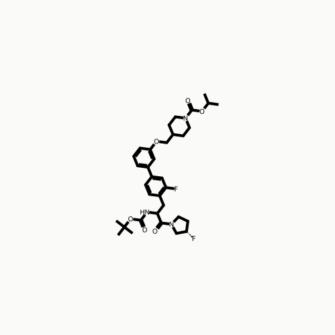 CC(C)OC(=O)N1CCC(COc2cccc(-c3ccc(CC(NC(=O)OC(C)(C)C)C(=O)N4CC[C@H](F)C4)c(F)c3)c2)CC1